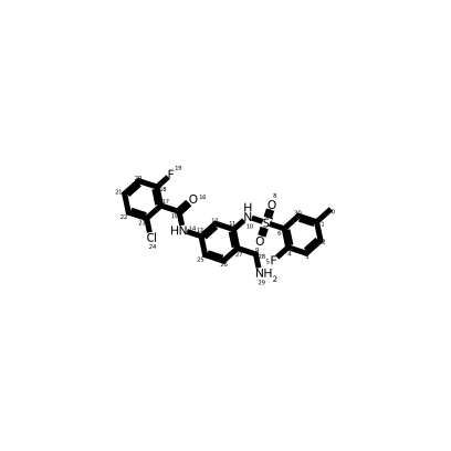 Cc1ccc(F)c(S(=O)(=O)Nc2cc(NC(=O)c3c(F)cccc3Cl)ccc2CN)c1